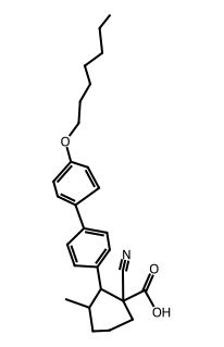 CCCCCCCOc1ccc(-c2ccc(C3C(C)CCCC3(C#N)C(=O)O)cc2)cc1